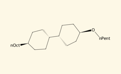 CCCCCCCC[C@H]1CC[C@H]([C@H]2CC[C@H](OCCCCC)CC2)CC1